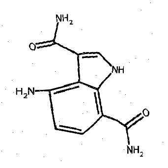 NC(=O)c1ccc(N)c2c(C(N)=O)c[nH]c12